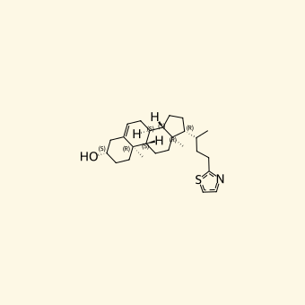 CC(CCc1nccs1)[C@H]1CC[C@H]2[C@@H]3CC=C4C[C@@H](O)CC[C@]4(C)[C@H]3CC[C@]12C